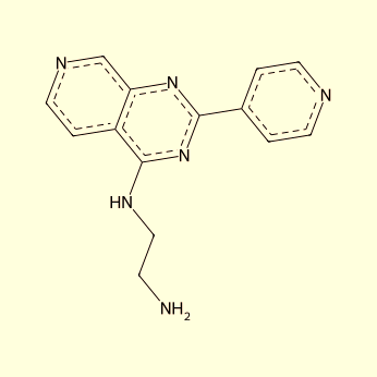 NCCNc1nc(-c2ccncc2)nc2cnccc12